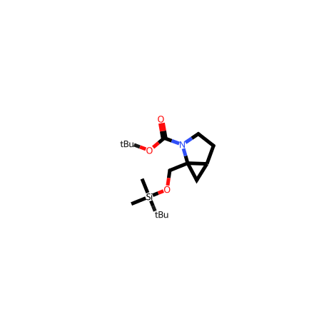 CC(C)(C)OC(=O)N1CCC2CC21CO[Si](C)(C)C(C)(C)C